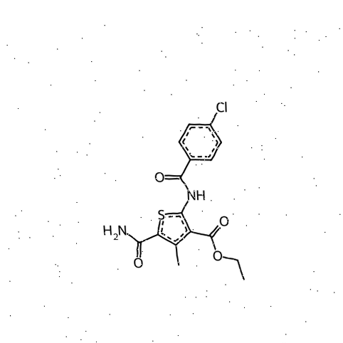 CCOC(=O)c1c(NC(=O)c2ccc(Cl)cc2)sc(C(N)=O)c1C